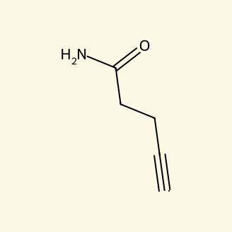 [C]#CCCC(N)=O